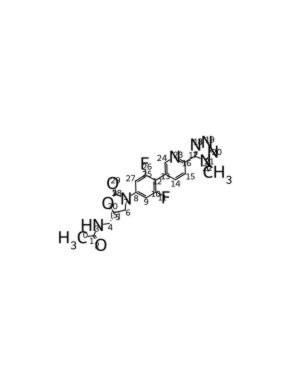 CC(=O)NC[C@H]1CN(c2cc(F)c(-c3ccc(-c4nnnn4C)nc3)c(F)c2)C(=O)O1